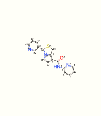 O=C(Nc1ccccn1)c1ccn2c1CSC2c1cccnc1